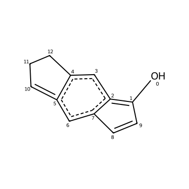 OC1=c2cc3c(cc2C=C1)=CCC3